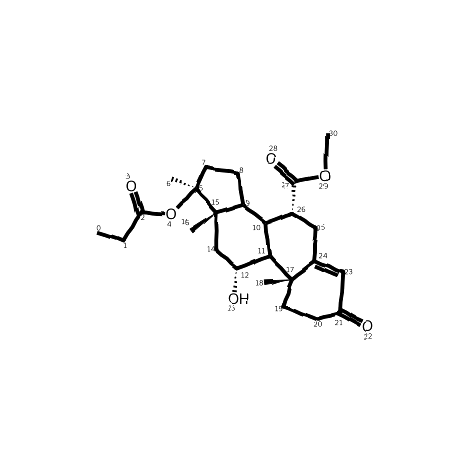 CCC(=O)O[C@@]1(C)CCC2C3C([C@H](O)C[C@@]21C)[C@@]1(C)CCC(=O)C=C1C[C@H]3C(=O)OC